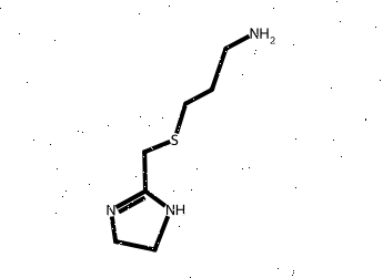 NCCCSCC1=NCCN1